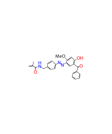 C=C(C)C(=O)NCc1ccc(N=Nc2cc(C(=O)c3ccccc3)c(O)cc2OC)cc1